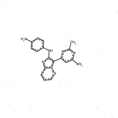 Cc1nc(N)cc(-c2c(Nc3ccc(N)cc3)nc3cccnn23)n1